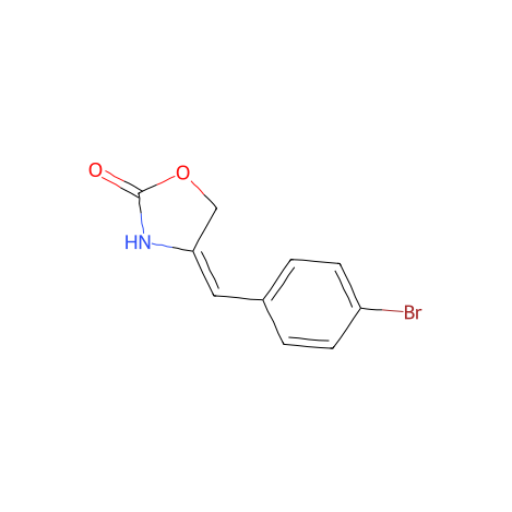 O=C1NC(=Cc2ccc(Br)cc2)CO1